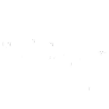 COc1ccc(F)cc1C(C)(C)CC(O)(/C=N/c1cccc2ccc(C(N)=O)nc12)C(F)(F)F